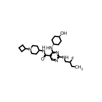 CCC(F)CNc1ncc(C(=O)NC2CCN(C3CCC3)CC2)c(N[C@H]2CC[C@H](O)CC2)n1